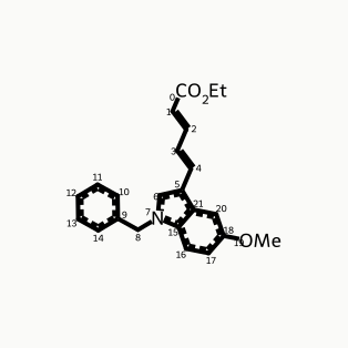 CCOC(=O)/C=C/C=C/c1cn(Cc2ccccc2)c2ccc(OC)cc12